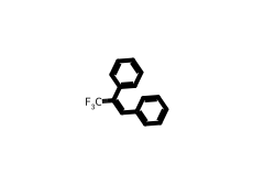 FC(F)(F)C(=Cc1ccccc1)c1ccccc1